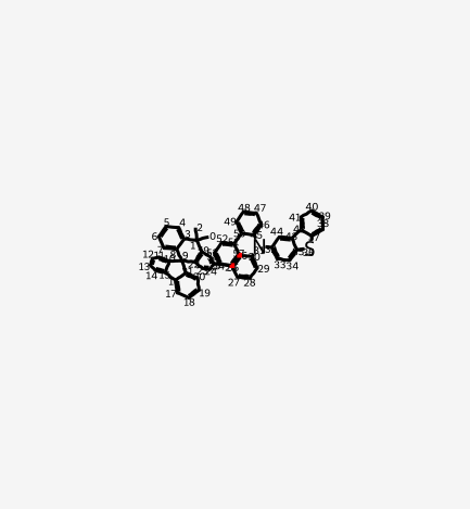 CC1(C)c2ccccc2C2(c3ccccc3-c3ccccc32)c2ccc(-c3cccc(N(c4ccc5sc6ccccc6c5c4)c4ccccc4-c4ccccc4)c3)cc21